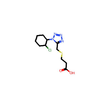 O=C(O)CCSCc1nnnn1C1CCCCC1Cl